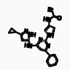 CCC(=O)NC1=C[SH](c2nc(Nc3cc(C4CC4)n[nH]3)cc(-c3ccccc3)n2)C=C1